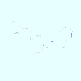 CC1(C)O[C@H]2[C@H](n3ccc4c(Cl)ncnc43)O[C@](C)(COc3cccc([N+](=O)[O-])c3)[C@@H]2O1